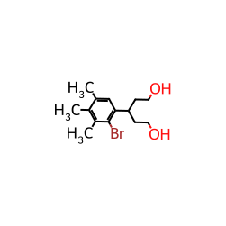 Cc1cc(C(CCO)CCO)c(Br)c(C)c1C